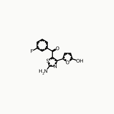 Nc1nc(-c2ccc(O)o2)c(C(=O)c2cccc(F)c2)s1